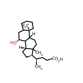 C[C@H](CCC(=O)O)[C@H]1CC[C@@H]2C3[C@@H](CCC21C)[C@@]1(C)CCCCC1C[C@@H]3O